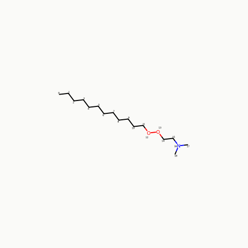 CCCCCCCCCCCCOOCCN(C)C